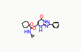 O=C(NC1CC1)C1(OCc2cc(=O)n3nc(-c4ccccc4)nc3[nH]2)CCCCC1